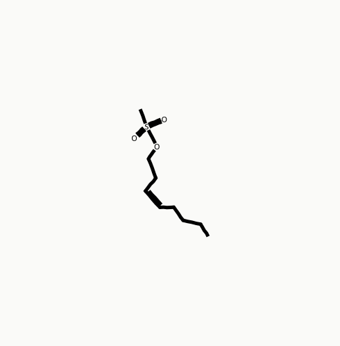 CCCC/C=C\CCOS(C)(=O)=O